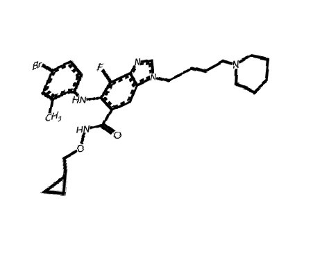 Cc1cc(Br)ccc1Nc1c(C(=O)NOCC2CC2)cc2c(ncn2CCCCN2CCCCC2)c1F